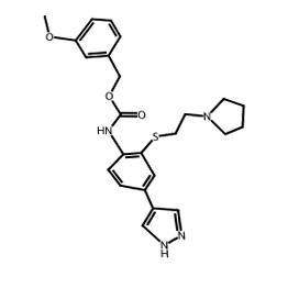 COc1cccc(COC(=O)Nc2ccc(-c3cn[nH]c3)cc2SCCN2CCCC2)c1